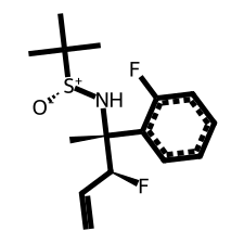 C=C[C@H](F)[C@](C)(N[S@+]([O-])C(C)(C)C)c1ccccc1F